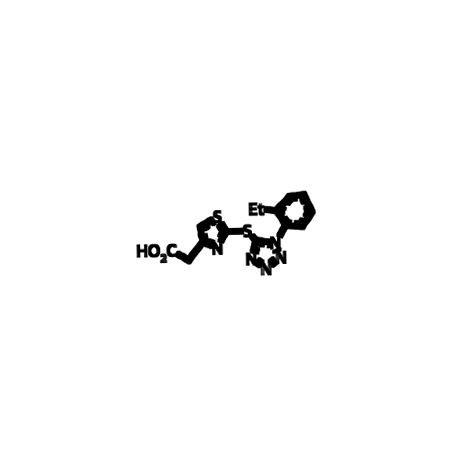 CCc1ccccc1-n1nnnc1Sc1nc(CC(=O)O)cs1